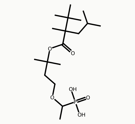 CC(C)CC(C)(C(=O)OC(C)(C)CCOC(C)P(=O)(O)O)C(C)(C)C